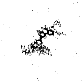 CCOc1c(OC)ccc(-c2cncc(C(CO[Si](C)(C)C(C)(C)C)CB3OC(C)(C)C(C)(C)O3)c2)c1C(F)F